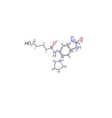 O=C(O)CCCC(=O)Nc1cc2[nH]c(=O)[nH]c2cc1N1CCCC1